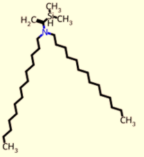 C=C(N(CCCCCCCCCCCCCC)CCCCCCCCCCCCCC)[SiH](C)C